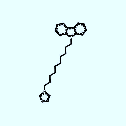 c1ccc2c(c1)c1ccccc1n2CCCCCCCCCCn1ccnc1